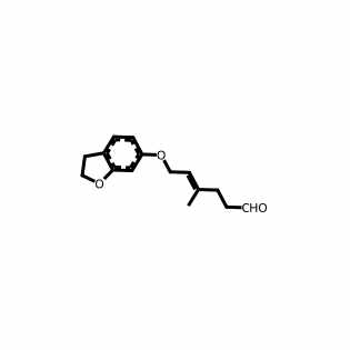 C/C(=C\COc1ccc2c(c1)OCC2)CCC=O